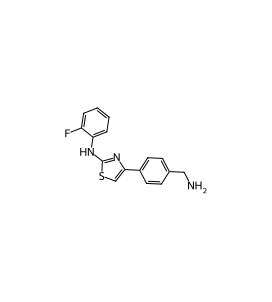 NCc1ccc(-c2csc(Nc3ccccc3F)n2)cc1